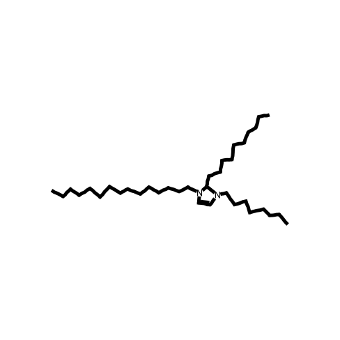 CCCCCCCCCCCCCCCN1C=CN(CCCCCCCC)C1CCCCCCCCCC